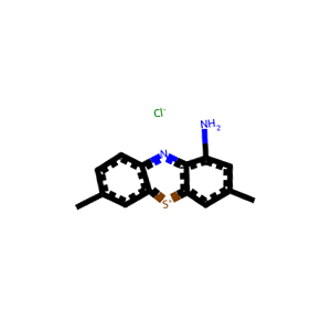 Cc1ccc2nc3c(N)cc(C)cc3[s+]c2c1.[Cl-]